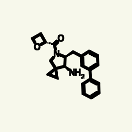 N[C@@H]1[C@H](Cc2cccc(-c3ccccc3)c2)N(C(=O)[C@H]2CCO2)CC12CC2